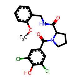 O=C(NCc1ccccc1OC(F)(F)F)C1CCCN1C(=O)c1cc(Cl)c(O)c(Cl)c1